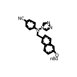 CCCCOc1ccc2cc(CN(c3ccc(C#N)cc3)n3cnnc3)ccc2c1